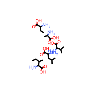 CC(C)C(N)C(=O)O.CC(C)CC(N)C(=O)O.CC(N)C(=O)O.CCC(C)C(N)C(=O)O.CCC(N)C(=O)O